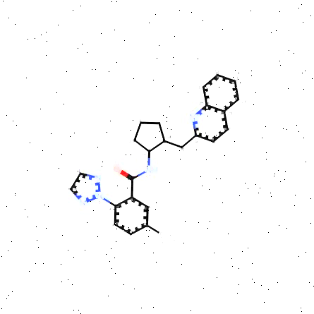 Cc1ccc(-n2nccn2)c(C(=O)NC2CCCC2Cc2ccc3ccccc3n2)c1